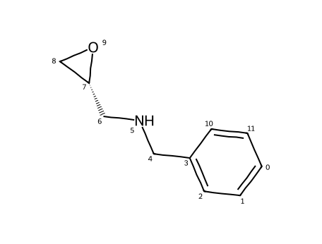 c1ccc(CNC[C@@H]2CO2)cc1